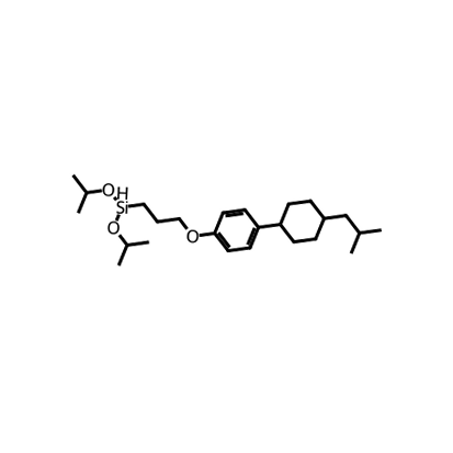 CC(C)CC1CCC(c2ccc(OCCC[SiH](OC(C)C)OC(C)C)cc2)CC1